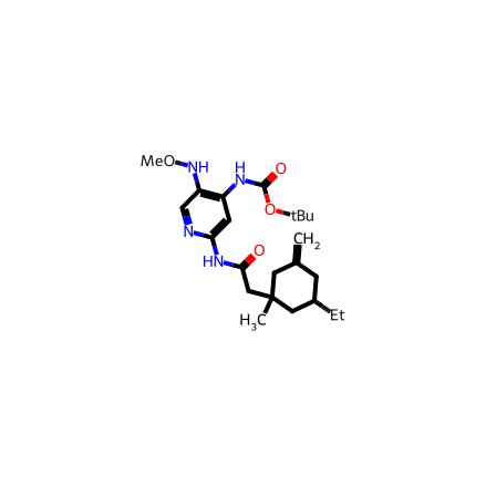 C=C1CC(CC)CC(C)(CC(=O)Nc2cc(NC(=O)OC(C)(C)C)c(NOC)cn2)C1